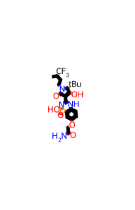 CC(CCN1C(=O)C(C2=NP(=O)(O)c3cc(OCC(N)=O)ccc3N2)=C(O)C1C(C)(C)C)C(F)(F)F